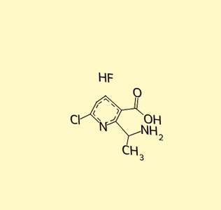 CC(N)c1nc(Cl)ccc1C(=O)O.F